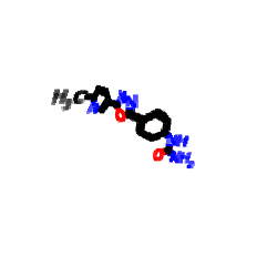 Cc1ccc(-c2nnc(C3CCC(NC(N)=O)CC3)o2)cn1